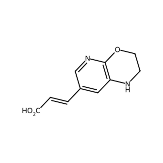 O=C(O)/C=C/c1cnc2c(c1)NCCO2